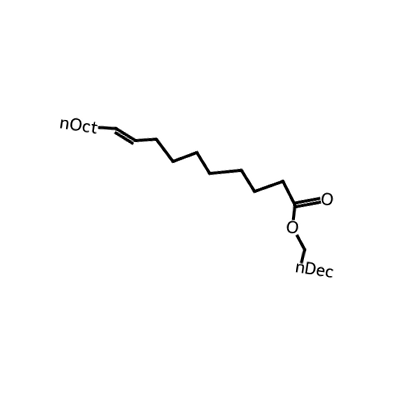 CCCCCCCCC=CCCCCCCCC(=O)OCCCCCCCCCCC